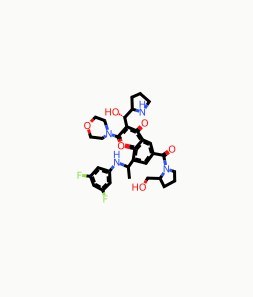 CC(Nc1cc(F)cc(F)c1)c1cc(C(=O)N2CCCC2CO)cc2c(=O)c([C@H](O)C3CCCN3)c(N3CCOCC3)oc12